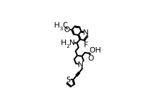 COc1ccc2ncc(F)c(C(N)CCC3CCN(CC#Cc4cccs4)CC3CC(=O)O)c2c1